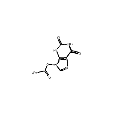 CC(C)C(=O)On1cnc2c(=O)[nH]c(=O)[nH]c21